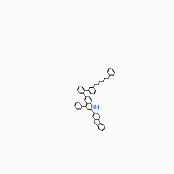 C1=CCC(C2=C3C=C(c4ccccc4-c4cccc(CCCCCCc5ccccc5)c4)C=CC3NC(C3=CC4Cc5ccccc5C4CC3)=C2)C=C1